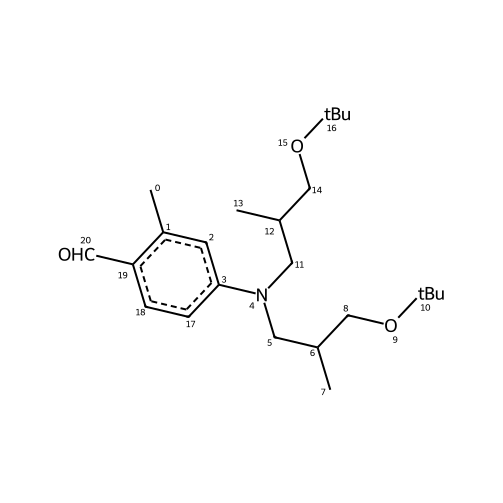 Cc1cc(N(CC(C)COC(C)(C)C)CC(C)COC(C)(C)C)ccc1C=O